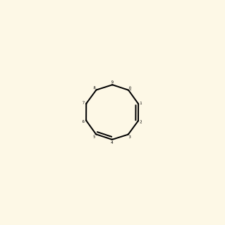 [CH]1C=CCC=CCCCC1